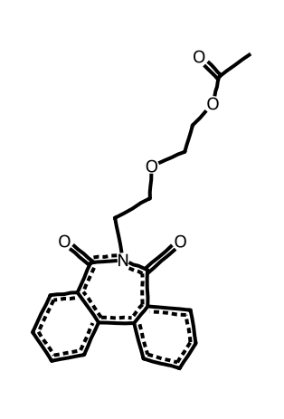 CC(=O)OCCOCCn1c(=O)c2ccccc2c2ccccc2c1=O